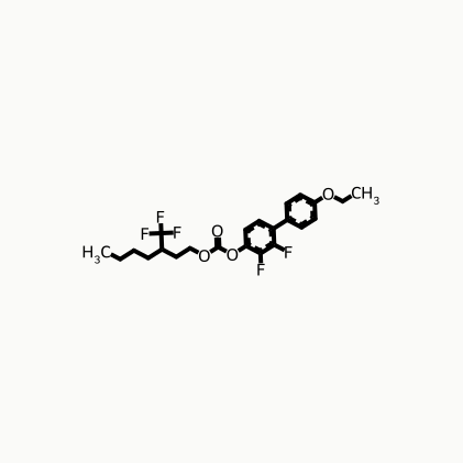 CCCCC(CCOC(=O)Oc1ccc(-c2ccc(OCC)cc2)c(F)c1F)C(F)(F)F